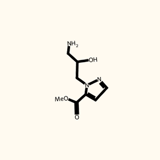 COC(=O)c1ccnn1CC(O)CN